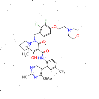 COc1nc(C#N)ncc1-c1cc(C(F)(F)F)ccc1NC(=O)C1=C(O)[C@@]2(C)CCCN2N(Cc2ccc(OCCN3CCOCC3)c(F)c2F)C1=O